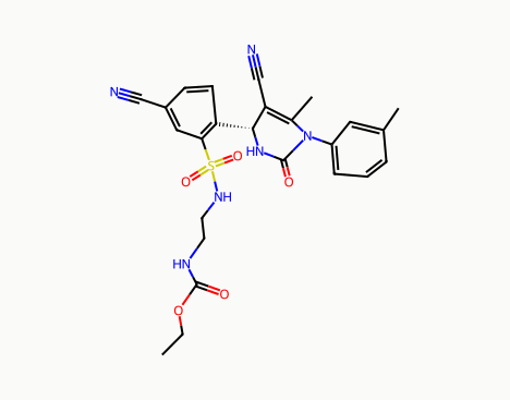 CCOC(=O)NCCNS(=O)(=O)c1cc(C#N)ccc1[C@H]1NC(=O)N(c2cccc(C)c2)C(C)=C1C#N